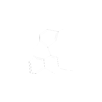 CC(C)(C)ON=C(c1cc(Br)ccc1O)c1ncccc1Br